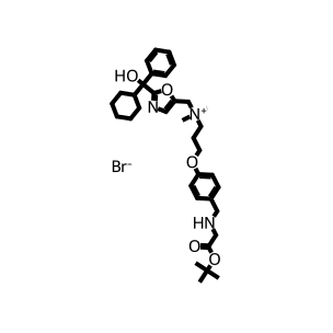 CC(C)(C)OC(=O)CNCc1ccc(OCCC[N+](C)(C)Cc2cnc(C(O)(c3ccccc3)C3CCCCC3)o2)cc1.[Br-]